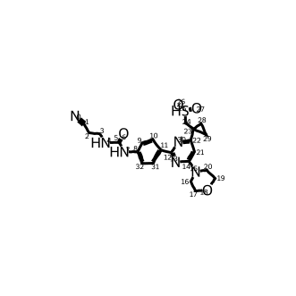 N#CCCNC(=O)Nc1ccc(-c2nc(N3CCOCC3)cc(C3(C[SH](=O)=O)CC3)n2)cc1